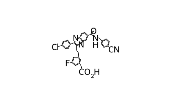 N#Cc1ccc(CNC(=O)c2ccc3nc(-c4ccc(Cl)cc4)c(CCc4cc(F)cc(CC(=O)O)c4)nc3c2)cc1